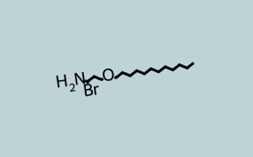 CCCCCCCCCCCCOCCC(N)Br